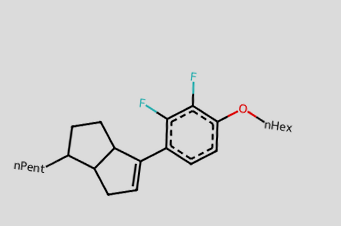 CCCCCCOc1ccc(C2=CCC3C(CCCCC)CCC23)c(F)c1F